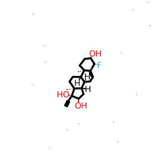 C#C[C@]1(O)[C@H](O)C[C@H]2[C@@H]3CC=C4[C@@H](F)[C@@H](O)CC[C@]4(C)[C@H]3CC[C@@]21C